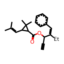 C#CC(OC(=O)C1C(C=C(C)C)C1(C)C)C(=Cc1ccccc1)CC